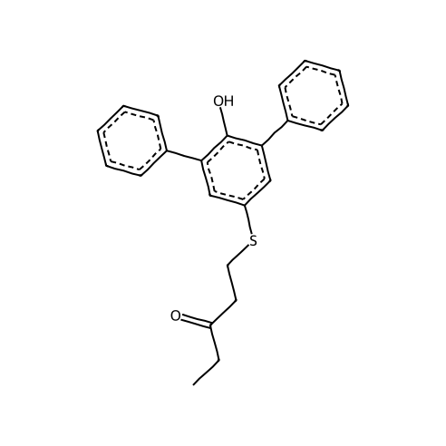 CCC(=O)CCSc1cc(-c2ccccc2)c(O)c(-c2ccccc2)c1